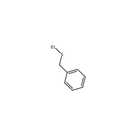 C[CH]SCc1ccccc1